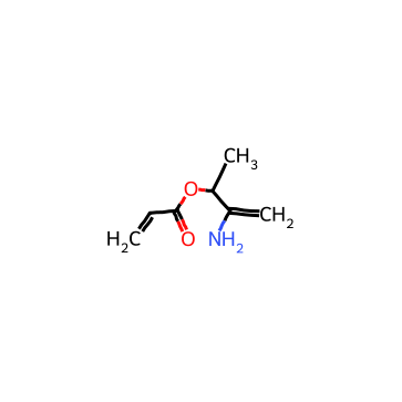 C=CC(=O)OC(C)C(=C)N